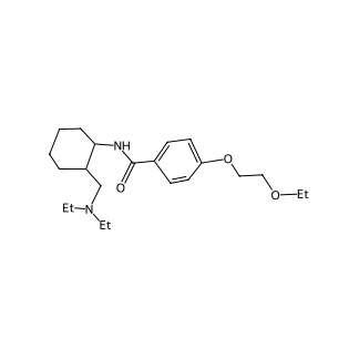 CCOCCOc1ccc(C(=O)NC2CCCCC2CN(CC)CC)cc1